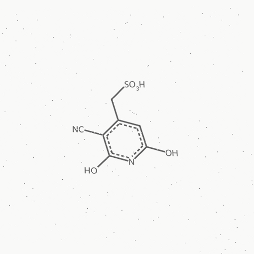 N#Cc1c(CS(=O)(=O)O)cc(O)nc1O